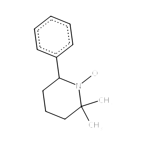 CC1(C)CCCC(c2ccccc2)N1[O]